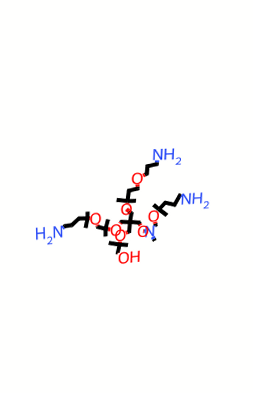 CN(COC(C)(C)CCCN)OCC(COC(C)(C)CO)(COC(C)(C)CCOCCCN)COC(C)(C)COC(C)(C)CCCN